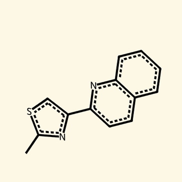 Cc1nc(-c2ccc3ccccc3n2)cs1